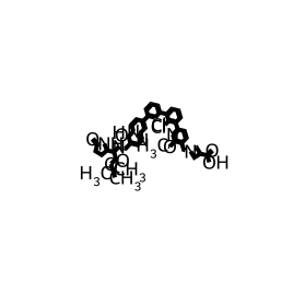 COc1nc(-c2cccc(-c3cccc(-c4ccn5c(=O)c(CNC(C(=O)OC(C)(C)C)C6CCC(=O)N6)cnc5c4)c3Cl)c2Cl)ccc1CN1CC(C(=O)O)C1